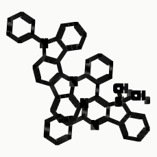 C[Si]1(C)c2ccccc2-c2nc(-c3ccccc3)nc(-c3ccccc3-n3c4ccccc4c4ccc5c(c6ccccc6n5-c5ccccc5)c43)c21